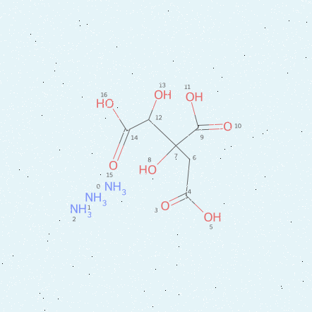 N.N.N.O=C(O)CC(O)(C(=O)O)C(O)C(=O)O